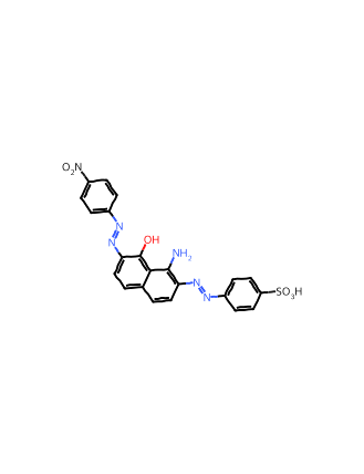 Nc1c(N=Nc2ccc(S(=O)(=O)O)cc2)ccc2ccc(N=Nc3ccc([N+](=O)[O-])cc3)c(O)c12